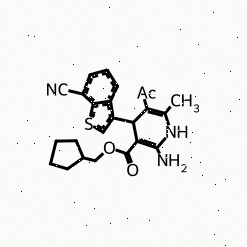 CC(=O)C1=C(C)NC(N)=C(C(=O)OCC2CCCC2)C1c1csc2c(C#N)cccc12